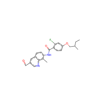 CCC(C)COc1ccc(C(=O)Nc2ccc3cc(C=O)cnc3c2C)c(F)c1